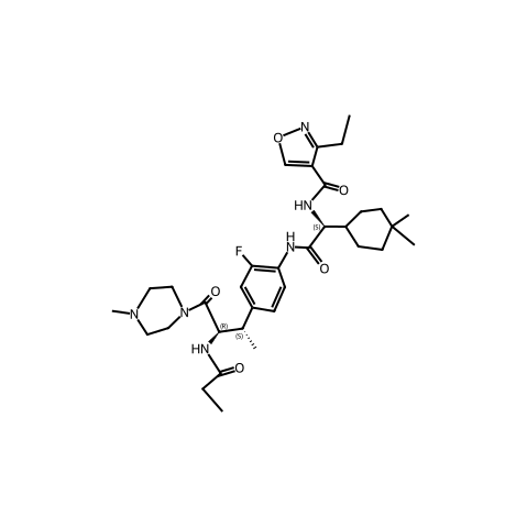 CCC(=O)N[C@@H](C(=O)N1CCN(C)CC1)[C@@H](C)c1ccc(NC(=O)[C@@H](NC(=O)c2conc2CC)C2CCC(C)(C)CC2)c(F)c1